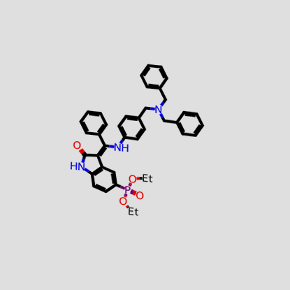 CCOP(=O)(OCC)c1ccc2c(c1)C(=C(Nc1ccc(CN(Cc3ccccc3)Cc3ccccc3)cc1)c1ccccc1)C(=O)N2